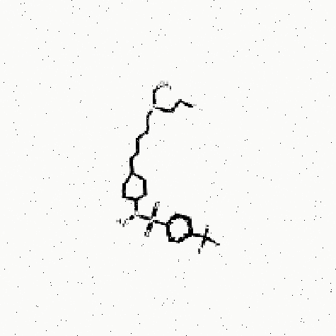 CCN(CCF)CCCCCC1CCC(N(C)S(=O)(=O)c2ccc(C(F)(F)F)cc2)CC1